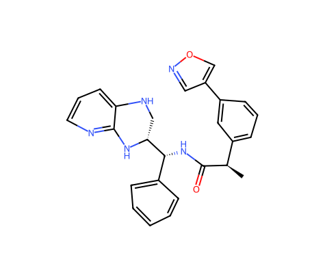 C[C@@H](C(=O)N[C@H](c1ccccc1)[C@H]1CNc2cccnc2N1)c1cccc(-c2cnoc2)c1